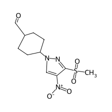 CS(=O)(=O)c1nn(C2CCC(C=O)CC2)cc1[N+](=O)[O-]